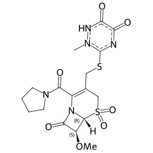 CO[C@H]1C(=O)N2C(C(=O)N3CCCC3)=C(CSc3nc(=O)c(=O)[nH]n3C)CS(=O)(=O)[C@H]12